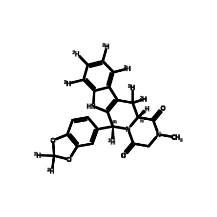 [2H]c1c([2H])c([2H])c2c3c([nH]c2c1[2H])[C@@]([2H])(c1ccc2c(c1)OC([2H])([2H])O2)N1C(=O)CN(C)C(=O)[C@H]1C3([2H])[2H]